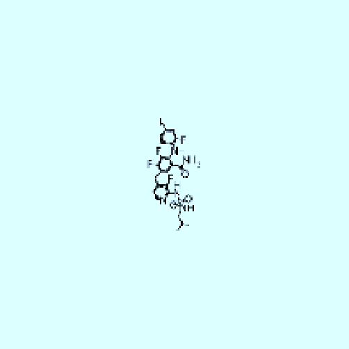 CC(C)CNS(=O)(=O)Nc1nccc(Cc2cc(C(N)=O)c(Nc3ccc(I)cc3F)c(F)c2F)c1F